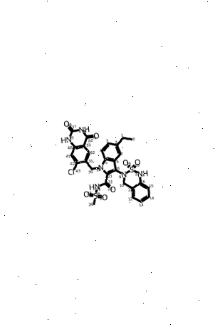 CCc1ccc2c(c1)c(N1Cc3ccccc3NS1(=O)=O)c(C(=O)NS(C)(=O)=O)n2Cc1cc2c(=O)[nH]c(=O)[nH]c2cc1Cl